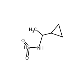 CC(N[SH](=O)=O)C1CC1